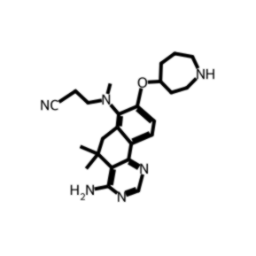 CN(CCC#N)c1c(OC2CCCNCC2)ccc2c1CC(C)(C)c1c(N)ncnc1-2